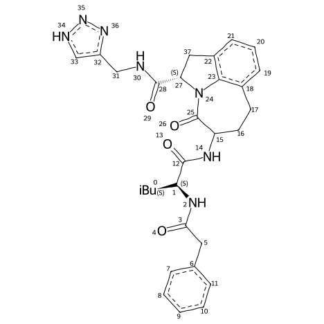 CC[C@H](C)[C@H](NC(=O)Cc1ccccc1)C(=O)NC1CCc2cccc3c2N(C1=O)[C@H](C(=O)NCc1c[nH]nn1)C3